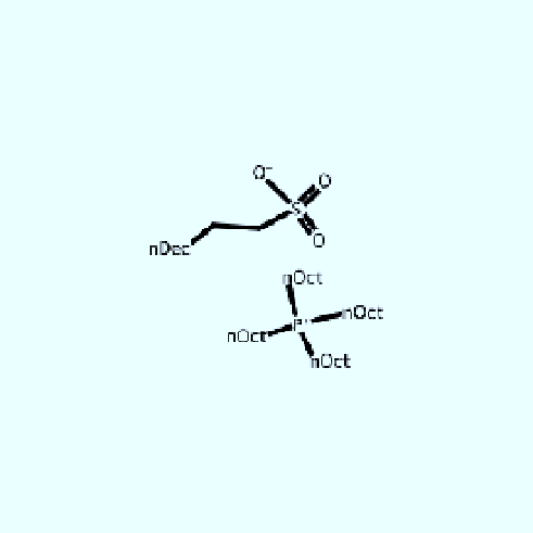 CCCCCCCCCCCCS(=O)(=O)[O-].CCCCCCCC[P+](CCCCCCCC)(CCCCCCCC)CCCCCCCC